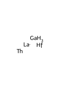 [GaH3].[Hf].[La].[Th]